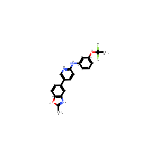 Cc1nc2cc(-c3ccc(Nc4cccc(OC(C)(F)F)c4)nc3)ccc2o1